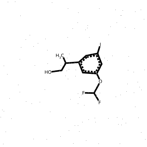 C[C](CO)c1cc(I)cc(OC(F)F)c1